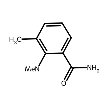 CNc1c(C)cccc1C(N)=O